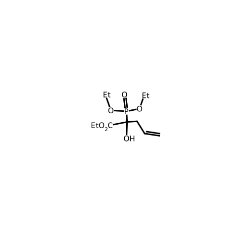 C=CCC(O)(C(=O)OCC)P(=O)(OCC)OCC